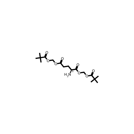 CC(C)(C)C(=O)OCOC(=O)CC[C@H](N)C(=O)OCOC(=O)C(C)(C)C